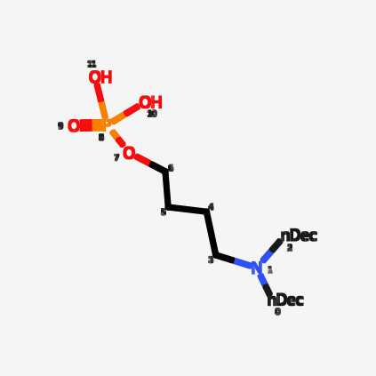 CCCCCCCCCCN(CCCCCCCCCC)CCCCOP(=O)(O)O